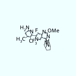 COc1nc(N2CC3CCC(C2)N3)c2cnc(-c3nc(N)cc(C)c3C(F)(F)F)c(F)c2n1